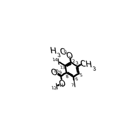 COc1c(C)cc(I)c(C(=O)OI)c1I